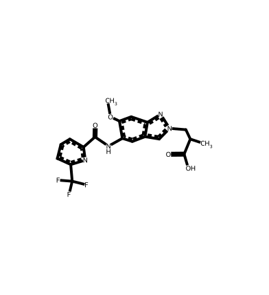 COc1cc2nn(CC(C)C(=O)O)cc2cc1NC(=O)c1cccc(C(F)(F)F)n1